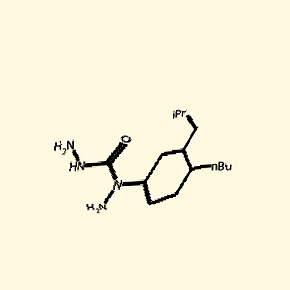 CCCCC1CCC(N(N)C(=O)NN)CC1CC(C)C